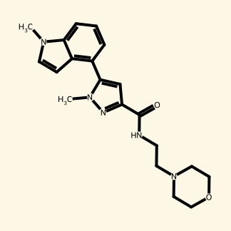 Cn1nc(C(=O)NCCN2CCOCC2)cc1-c1cccc2c1ccn2C